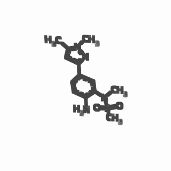 Cc1cc(-c2ccc(N)c(N(C)S(C)(=O)=O)c2)nn1C